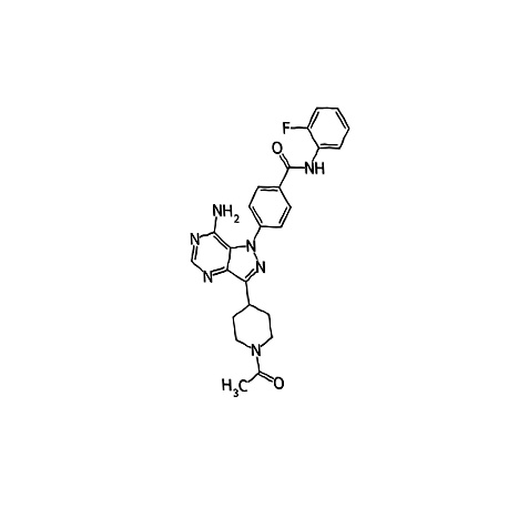 CC(=O)N1CCC(c2nn(-c3ccc(C(=O)Nc4ccccc4F)cc3)c3c(N)ncnc23)CC1